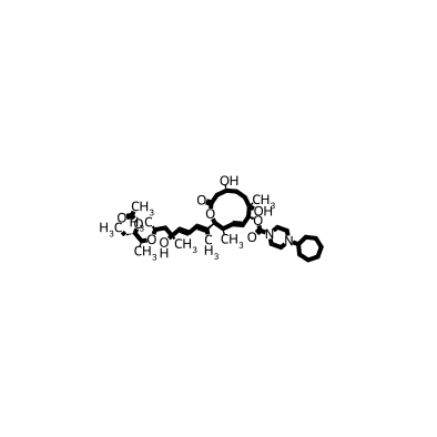 CC[C@H](OC(C)=O)[C@@H](C)O[C@@H](C)C[C@@](C)(O)/C=C/C=C(\C)[C@H]1OC(=O)C[C@H](O)CC[C@@](C)(O)[C@@H](OC(=O)N2CCN(C3CCCCCC3)CC2)/C=C/[C@@H]1C